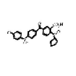 CN(c1ccc(Cl)cc1)c1ccc(C(=O)c2ccc([S+]([O-])C3CCCC3)c(C(=O)O)c2)cc1